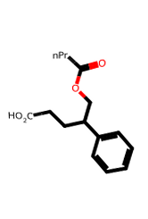 CCCC(=O)OCC(CCC(=O)O)c1ccccc1